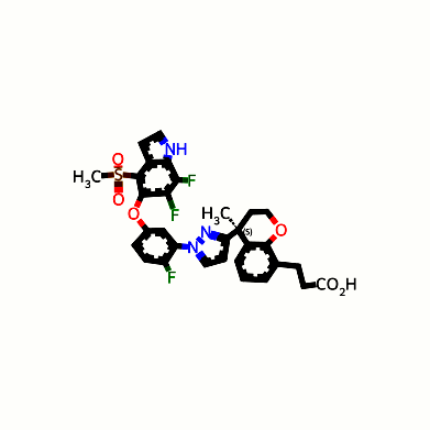 C[C@]1(c2ccn(-c3cc(Oc4c(F)c(F)c5[nH]ccc5c4S(C)(=O)=O)ccc3F)n2)CCOc2c(CCC(=O)O)cccc21